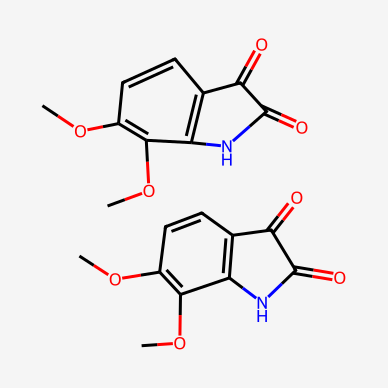 COc1ccc2c(c1OC)NC(=O)C2=O.COc1ccc2c(c1OC)NC(=O)C2=O